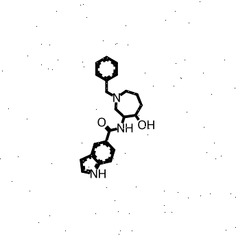 O=C(NC1CN(Cc2ccccc2)CCCC1O)c1ccc2[nH]ccc2c1